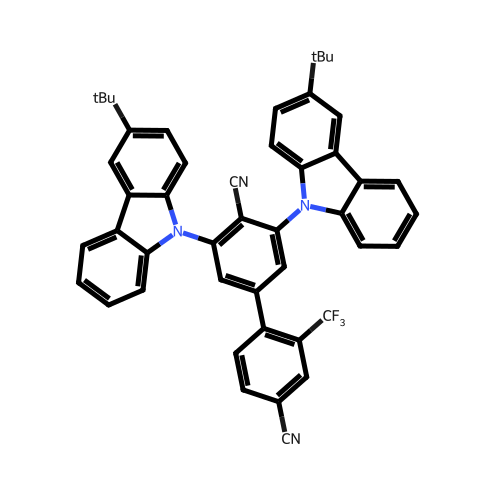 CC(C)(C)c1ccc2c(c1)c1ccccc1n2-c1cc(-c2ccc(C#N)cc2C(F)(F)F)cc(-n2c3ccccc3c3cc(C(C)(C)C)ccc32)c1C#N